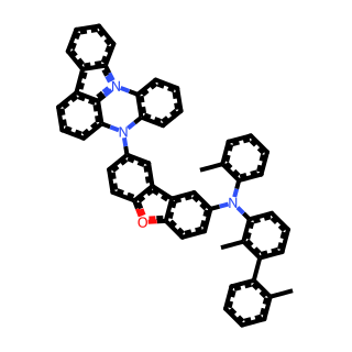 Cc1ccccc1-c1cccc(N(c2ccc3oc4ccc(N5c6ccccc6-n6c7ccccc7c7cccc5c76)cc4c3c2)c2ccccc2C)c1C